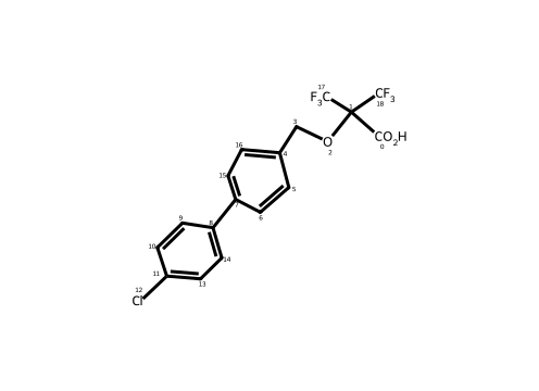 O=C(O)C(OCc1ccc(-c2ccc(Cl)cc2)cc1)(C(F)(F)F)C(F)(F)F